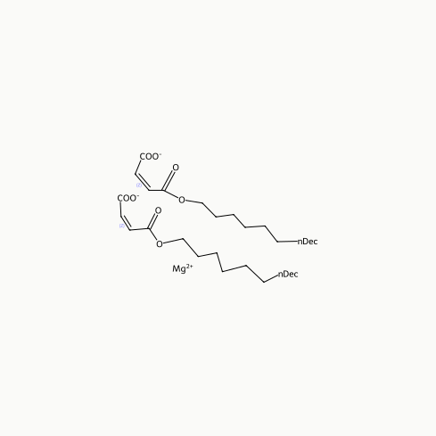 CCCCCCCCCCCCCCCCOC(=O)/C=C\C(=O)[O-].CCCCCCCCCCCCCCCCOC(=O)/C=C\C(=O)[O-].[Mg+2]